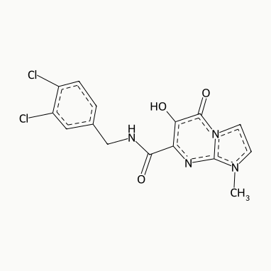 Cn1ccn2c(=O)c(O)c(C(=O)NCc3ccc(Cl)c(Cl)c3)nc12